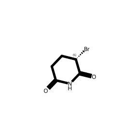 O=C1CC[C@H](Br)C(=O)N1